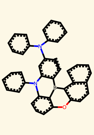 c1ccc(N2c3cccc4c3B(c3c(ccc5ccccc35)O4)c3c2cc(N(c2ccccc2)c2ccccc2)c2ccccc32)cc1